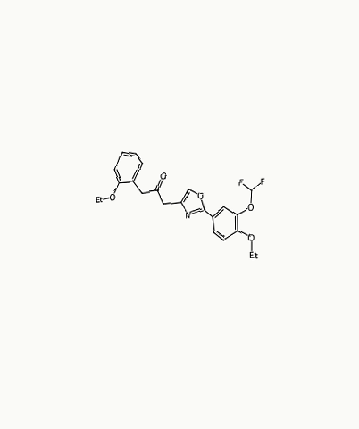 CCOc1ccccc1CC(=O)Cc1coc(-c2ccc(OCC)c(OC(F)F)c2)n1